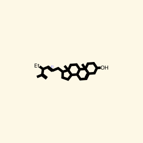 C=C(C)C(/C=C/CC1CCC2C3CC=C4CC(O)CCC4(C)C3CCC12C)CC